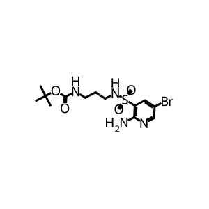 CC(C)(C)OC(=O)NCCCNS(=O)(=O)c1cc(Br)cnc1N